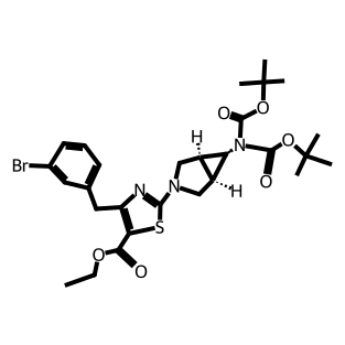 CCOC(=O)c1sc(N2C[C@@H]3[C@H](C2)[C@H]3N(C(=O)OC(C)(C)C)C(=O)OC(C)(C)C)nc1Cc1cccc(Br)c1